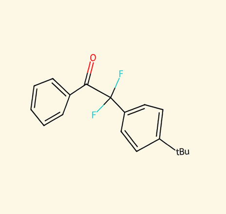 CC(C)(C)c1ccc(C(F)(F)C(=O)c2ccccc2)cc1